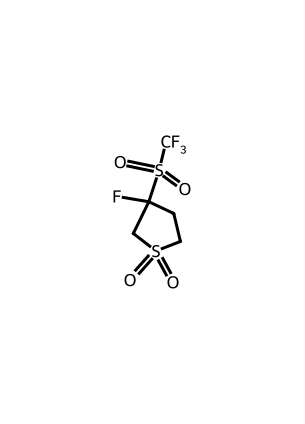 O=S1(=O)CCC(F)(S(=O)(=O)C(F)(F)F)C1